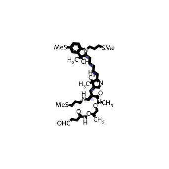 C=C(CON(C)C(=O)C(/C=C1\CN=C(/C=C/C=C/C=C2/N(CCCSC)c3ccc(SC)cc3C2(C)C)C1(C)C)=C/NCCCSC)ONC(=O)CCC=O